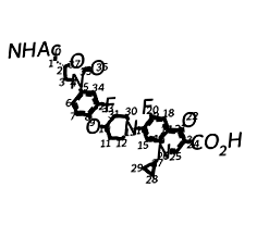 CC(=O)NC[C@H]1CN(c2ccc(OC3CCN(c4cc5c(cc4F)c(=O)c(C(=O)O)cn5C4CC4)CC3)c(F)c2)C(=O)O1